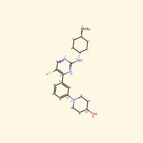 CC(=O)N[C@H]1CC[C@H](Nc2ncc(F)c(-c3cccc(N4CCC(O)CC4)c3)n2)CC1